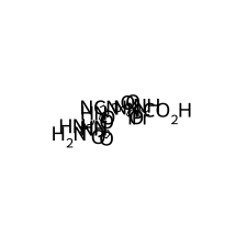 CC(C)CC(C(=O)N1CCN(C(CC#N)C(=O)N[C@@H](CCCNC(=N)N)C(=O)NC2CCOC2=O)CC1)N1C(=O)N[C@@H](CC(=O)O)C1=O